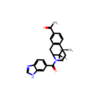 CC(=O)c1ccc2c(c1)CC1N(C(=O)c3ccc4nc[nH]c4c3)CC[C@]2(C)C1(C)C